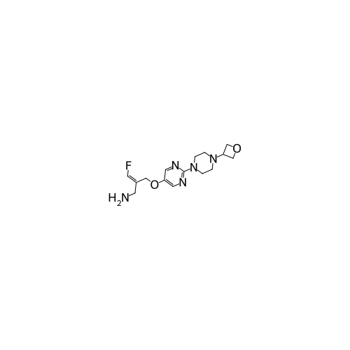 NC/C(=C/F)COc1cnc(N2CCN(C3COC3)CC2)nc1